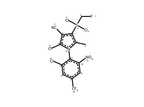 Cc1c(S(Cl)(Cl)CF)c(C#N)c(Cl)n1-c1c(Cl)cc(C(F)(F)F)cc1[N+](=O)[O-]